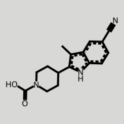 Cc1c(C2CCN(C(=O)O)CC2)[nH]c2ccc(C#N)cc12